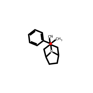 CC(c1ccccc1)N1C2CCC1CC(C#N)C2